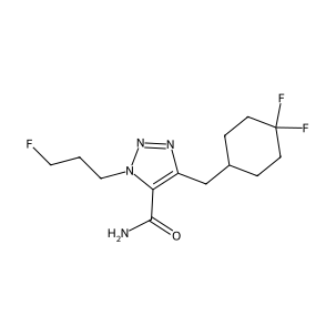 NC(=O)c1c(CC2CCC(F)(F)CC2)nnn1CCCF